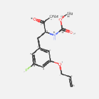 C=CCOc1cc(F)cc(CC(NC(=O)OC(C)(C)C)C(=O)OC)c1